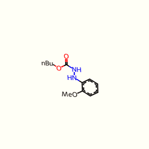 CCCCOC(=O)NNc1ccccc1OC